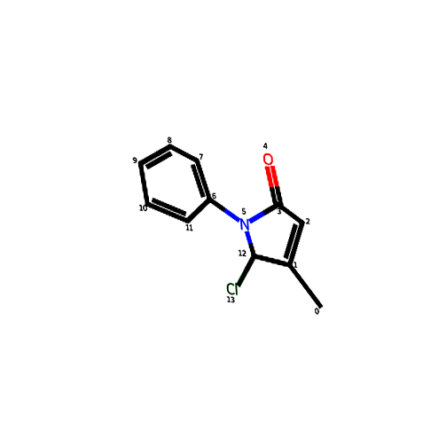 CC1=CC(=O)N(c2ccccc2)C1Cl